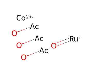 CC(=O)[O-].CC(=O)[O-].CC(=O)[O-].[Co+2].[O]=[Ru+]